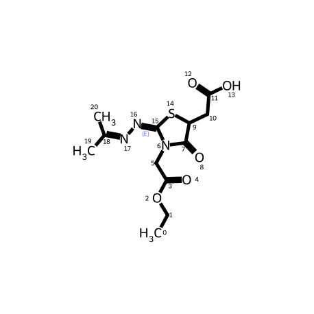 CCOC(=O)CN1C(=O)C(CC(=O)O)S/C1=N/N=C(C)C